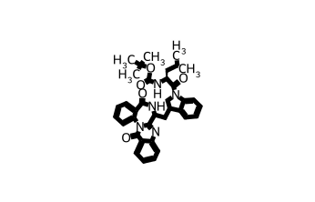 CC(C)C[C@H](NC(=O)OC(C)(C)C)C(=O)N1CC(CC2NC(=O)c3ccccc3-n3c2nc2ccccc2c3=O)c2ccccc21